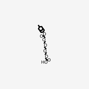 CC1CC2CC(C1)CC(OC(=O)COCCOCCOCCOCC(=O)O)C2